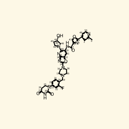 Cc1cc(-c2nc(C(=O)Nc3cc4oc(N5CCN(Cc6ccc(N7CCC(=O)NC7=O)cc6F)CC5)nc4nc3N3CC[C@@H](O)C3)co2)ccn1